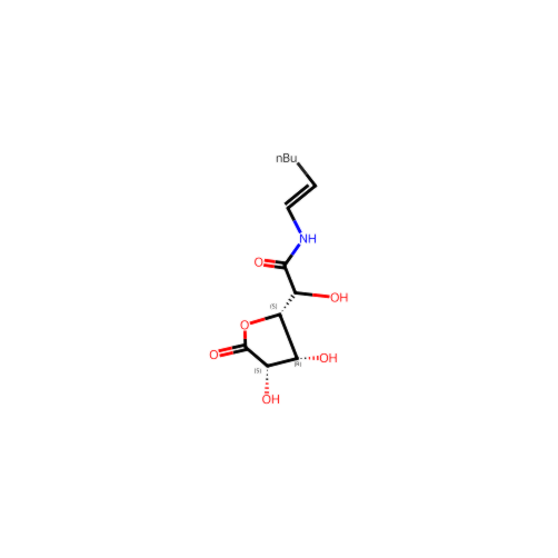 CCCCC=CNC(=O)C(O)[C@H]1OC(=O)[C@@H](O)[C@H]1O